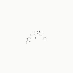 CCC(CC)(NC(=O)c1cnn2c1NC(c1ccccc1)CC2(C)C)c1ccc(Cl)nc1